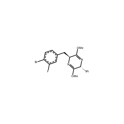 COC1=N[C@H](C(C)C)C(OC)=N[C@H]1Cc1ccc(Br)c(F)c1